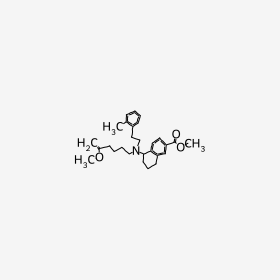 C=C(CCCCN(CCc1ccccc1C)C1CCCc2cc(C(=O)OC)ccc21)OC